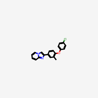 Cc1cc(-c2cn3ccccc3n2)ccc1Oc1ccc(Cl)cc1